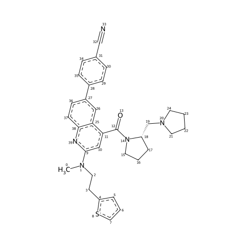 CN(CCc1cccs1)c1cc(C(=O)N2CCC[C@H]2CN2CCCC2)c2cc(-c3ccc(C#N)cc3)ccc2n1